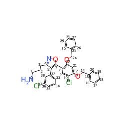 NCCCc1noc(-c2cc(Cl)c(OCc3ccccc3)cc2OCc2ccccc2)c1-c1cccc(Cl)c1